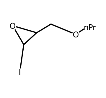 CCCOCC1OC1I